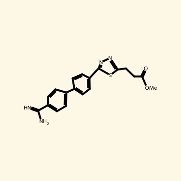 COC(=O)CCc1nnc(-c2ccc(-c3ccc(C(=N)N)cc3)cc2)s1